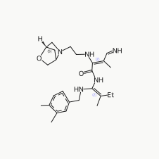 CC/C(C)=C(/NCc1ccc(C)c(C)c1)NC(=O)/C(NCCN1C[C@@H]2CC1CO2)=C(\C)C=N